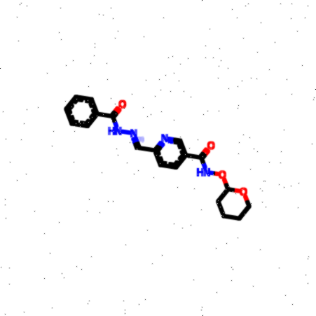 O=C(N/N=C/c1ccc(C(=O)NOC2CCCCO2)cn1)c1ccccc1